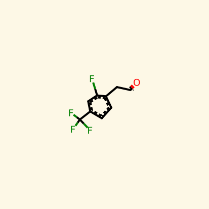 O=[C]Cc1ccc(C(F)(F)F)cc1F